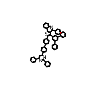 c1ccc(-c2cc(-c3ccccc3)cc(-c3c(-c4ccc(-c5ccc(-c6cc(-c7ccccc7)nc(-c7ccccc7)n6)cc5)cc4)sc4c3c(-c3ccccc3)nc3ccccc34)c2)cc1